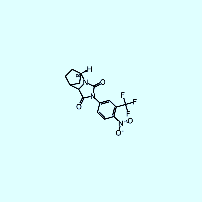 O=C1C2C3CC[C@@H](C3)N2C(=O)N1c1ccc([N+](=O)[O-])c(C(F)(F)F)c1